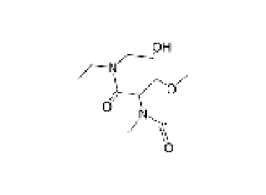 CCN(CCO)C(=O)C(COC)N(C)[C]=O